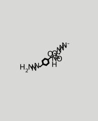 [N-]=[N+]=NCS(=O)(=O)NC(=O)c1ccc(CN=NN)cc1